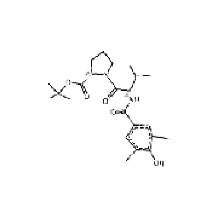 Cc1cc(C(=O)N[C@H](C(=O)N2CCC[C@H]2C(=O)OC(C)(C)C)C(C)C)cc(C)c1O